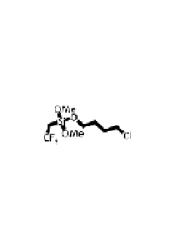 CO[Si](CC(F)(F)F)(OC)OCCCCCl